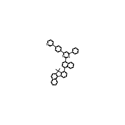 CC1(C)c2ccc3ccccc3c2-c2cccc(-c3ccc(-c4nc(-c5ccccc5)cc(-c5ccc(-c6cccnc6)cc5)n4)c4ccccc34)c21